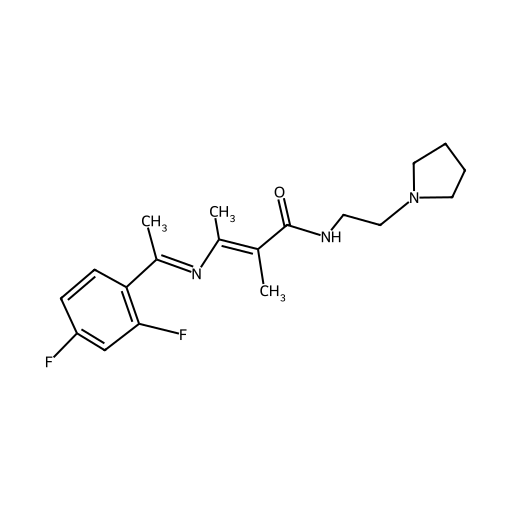 C/C(=N\C(C)=C(/C)C(=O)NCCN1CCCC1)c1ccc(F)cc1F